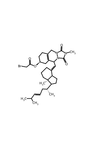 CC(C)/C=C/C[C@@H](C)C1CCC2/C(=C/C3C4=C(CC[C@H](OC(=O)CBr)C4)Cn4c(=O)n(C)c(=O)n43)CCC[C@@]21C